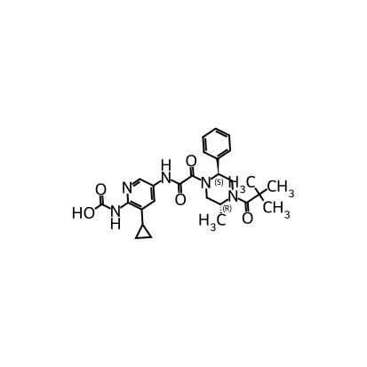 C[C@@H]1CN(C(=O)C(=O)Nc2cnc(NC(=O)O)c(C3CC3)c2)[C@@H](c2ccccc2)CN1C(=O)C(C)(C)C